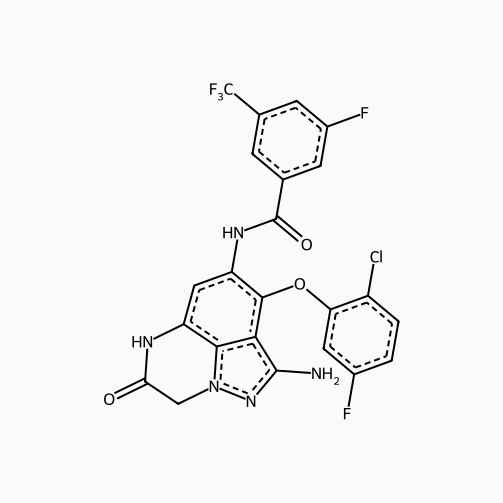 Nc1nn2c3c(cc(NC(=O)c4cc(F)cc(C(F)(F)F)c4)c(Oc4cc(F)ccc4Cl)c13)NC(=O)C2